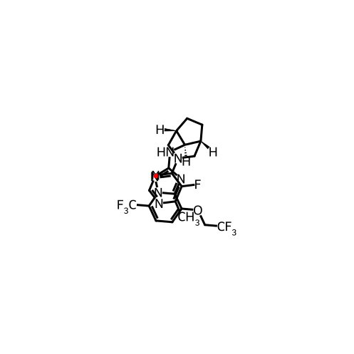 Cc1ncnc(N2C[C@H]3CC[C@@H](C2)[C@@H]3Nc2nc3c(OCC(F)(F)F)ccc(C(F)(F)F)n3n2)c1F